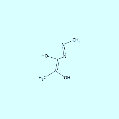 CN=N/C(O)=C(/C)O